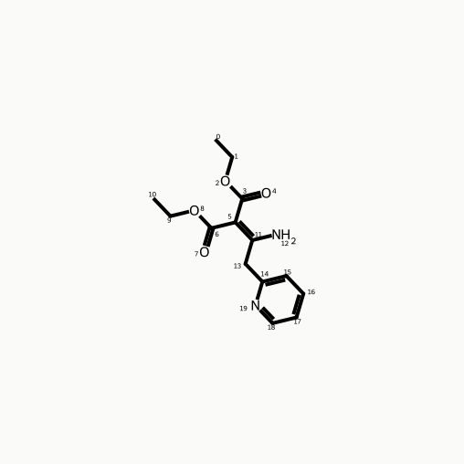 CCOC(=O)C(C(=O)OCC)=C(N)Cc1ccccn1